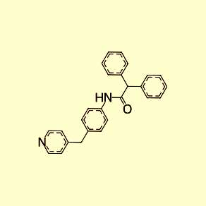 O=C(Nc1ccc(Cc2ccncc2)cc1)C(c1ccccc1)c1ccccc1